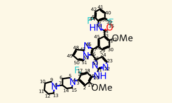 COc1cc(N2CCC(N3CCCCC3)CC2)c(F)cc1Nc1nccc(-c2c(-c3ccc(OC)c(C(=O)Nc4c(F)cccc4F)c3)nc3ccccn23)n1